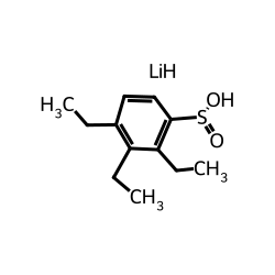 CCc1ccc(S(=O)O)c(CC)c1CC.[LiH]